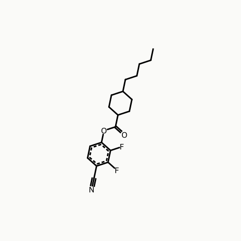 CCCCCC1CCC(C(=O)Oc2ccc(C#N)c(F)c2F)CC1